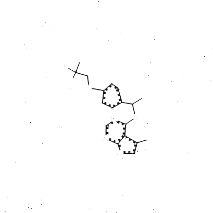 CC(Nc1ncnc2scc(F)c12)c1ccc(OCC(F)(F)F)cc1